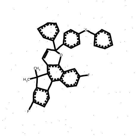 CC1(C)c2cc(F)ccc2-c2c1c1c(c3cc(F)ccc23)OC(c2ccccc2)(c2ccc(Sc3ccccc3)cc2)C=C1